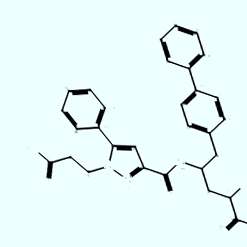 O=C(O)CCn1nc(C(=O)NC(Cc2ccc(-c3ccccc3)cc2)CC(O)C(=O)O)cc1-c1ccccc1